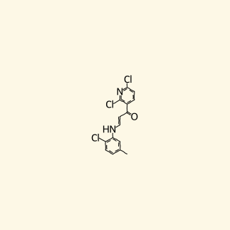 Cc1ccc(Cl)c(NC=CC(=O)c2ccc(Cl)nc2Cl)c1